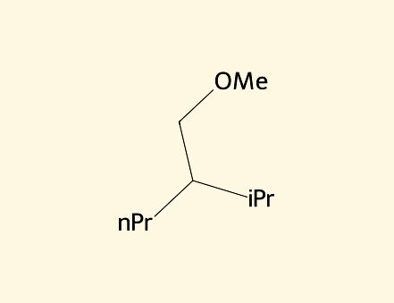 CCCC(COC)C(C)C